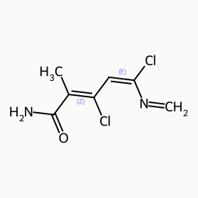 C=N/C(Cl)=C\C(Cl)=C(/C)C(N)=O